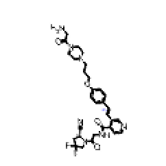 N#C[C@@H]1CC(F)(F)CN1C(=O)CNC(=O)c1ccncc1/C=C/c1ccc(OCCCN2CCN(C(=O)CN)CC2)cc1